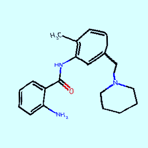 Cc1ccc(CN2CCCCC2)cc1NC(=O)c1ccccc1N